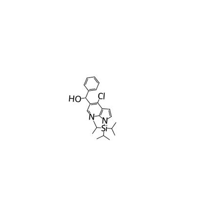 CC(C)[Si](C(C)C)(C(C)C)n1ccc2c(Cl)c(C(O)c3ccccc3)cnc21